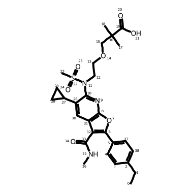 CCc1ccc(-c2oc3nc(N(CCOCC(C)(C)C(=O)O)S(C)(=O)=O)c(C4CC4)cc3c2C(=O)NC)cc1